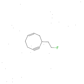 FCCC1C#CCCC=CC1